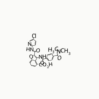 CN(C)C(=O)c1ccc(C(=O)Nc2c(C(=O)Nc3ccc(Cl)cn3)oc3cccc(C(=O)O)c23)cc1